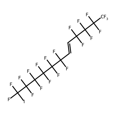 FC(F)(F)C(F)(F)C(F)(F)C(F)(F)C=CC(F)(F)C(F)(F)C(F)(F)C(F)(F)C(F)(F)C(F)(F)I